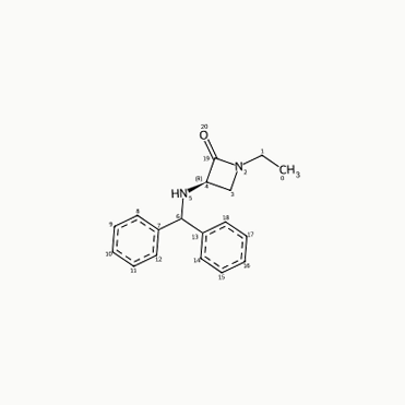 CCN1C[C@@H](NC(c2ccccc2)c2ccccc2)C1=O